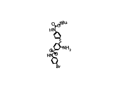 CC(C)(C)OC(=O)Nc1ccc(Sc2ccc(S(=O)(=O)Nc3ccc(Br)cc3)cc2N)cc1